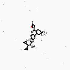 NC(c1nc2nc(C3CC(O)(C(F)(F)F)CCN3C(=O)C34CC(F)(C3)C4)ccc2[nH]1)C(C1CC1)C1CC1